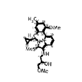 COCC(O)CNC1=C2C=CC=C(c3c(C)cc(C)cc3OC)N2N(CC2CC2)C1SC